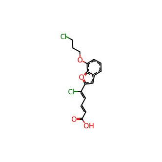 O=C(O)/C=C/C=C(\Cl)c1cc2cccc(OCCCCl)c2o1